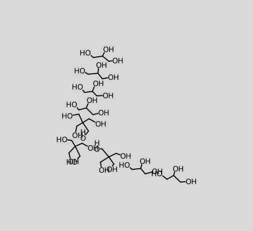 OCC(CO)(CO)CO.OCC(CO)(CO)CO.OCC(CO)(CO)CO.OCC(O)CO.OCC(O)CO.OCC(O)CO.OCC(O)CO.OCC(O)CO.OCC(O)CO